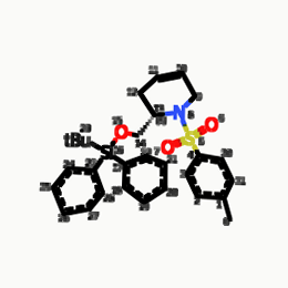 Cc1ccc(S(=O)(=O)N2CC=CC[C@H]2CO[Si](c2ccccc2)(c2ccccc2)C(C)(C)C)cc1